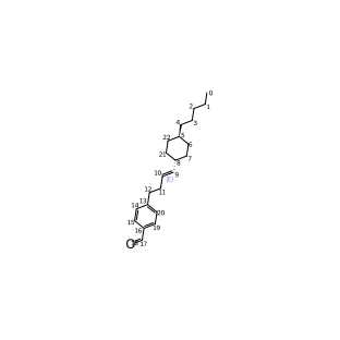 CCCCC[C@H]1CC[C@H](/C=C/CCc2ccc(C=O)cc2)CC1